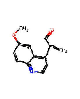 C=C(C=O)c1ccnc2ccc(OC)cc12